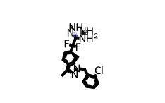 Cc1nn(Cc2ccccc2Cl)c2cc(C(F)(F)/C(=N/N)NN)ccc12